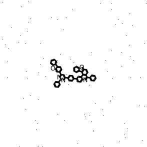 c1ccc(-c2nc(-c3ccc(-c4ccc5nc(-c6ccccc6)c6ccc7oc8ccccc8c7c6c5c4)cc3)cc(-c3ccc4c(c3)oc3ccccc34)n2)cc1